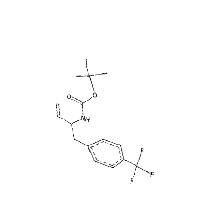 C=CC(Cc1ccc(C(F)(F)F)cc1)NC(=O)OC(C)(C)C